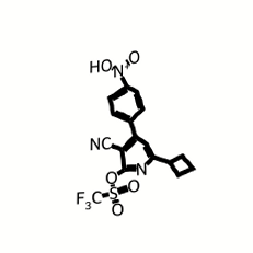 N#Cc1c(-c2ccc([N+](=O)O)cc2)cc(C2CCC2)nc1OS(=O)(=O)C(F)(F)F